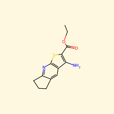 CCOC(=O)c1sc2nc3c(cc2c1N)CCC3